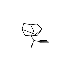 C[C@H](C#N)C12CC3CC(CC(C3)C1)C2